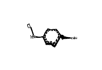 CCCCc1ccc(NCl)cc1